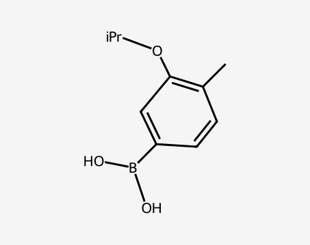 Cc1ccc(B(O)O)cc1OC(C)C